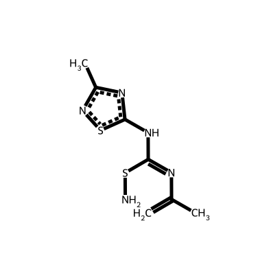 C=C(C)/N=C(/Nc1nc(C)ns1)SN